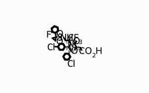 O=C(O)C[C@H]1O[C@H](c2cccc(Cl)c2)[C@@H](c2ccc(Cl)cc2)N([C@@H](CNS(=O)(=O)C2(c3ccccc3F)CC2)C(F)(F)F)C1=O